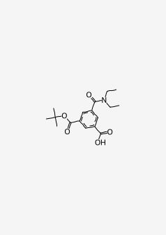 CCN(CC)C(=O)c1cc(C(=O)O)cc(C(=O)OC(C)(C)C)c1